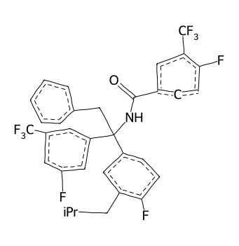 CC(C)Cc1cc(C(Cc2ccccc2)(NC(=O)c2ccc(F)c(C(F)(F)F)c2)c2cc(F)cc(C(F)(F)F)c2)ccc1F